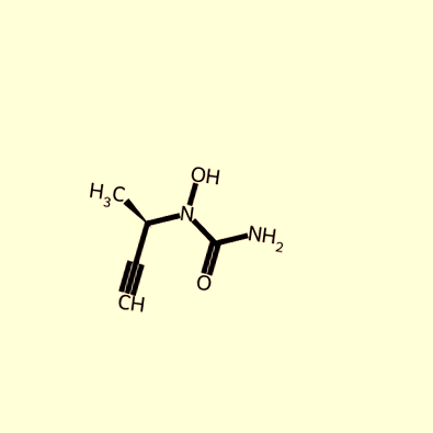 C#C[C@@H](C)N(O)C(N)=O